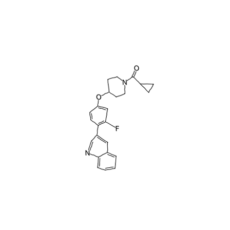 O=C(C1CC1)N1CCC(Oc2ccc(-c3cnc4ccccc4c3)c(F)c2)CC1